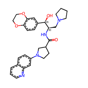 O=C(N[C@H](CN1CCCC1)[C@H](O)c1ccc2c(c1)OCCO2)C1CCN(c2ccc3cccnc3c2)C1